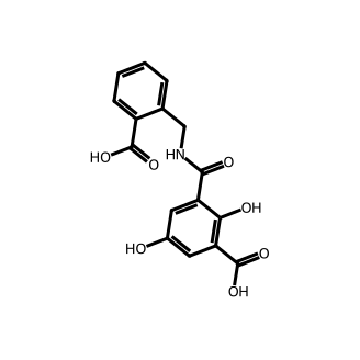 O=C(O)c1ccccc1CNC(=O)c1cc(O)cc(C(=O)O)c1O